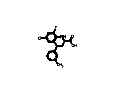 Cc1cccc(C2CC(C(=O)O)Nc3c(F)cc(Cl)cc32)c1